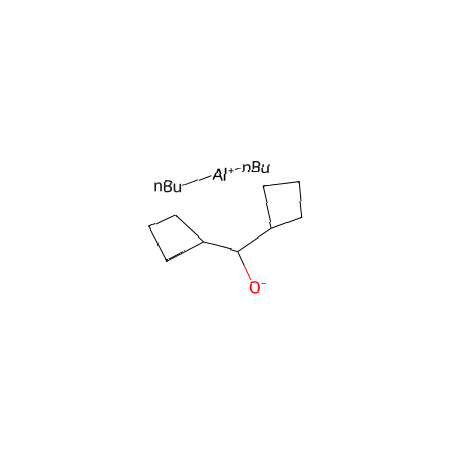 CCC[CH2][Al+][CH2]CCC.[O-]C(C1CCC1)C1CCC1